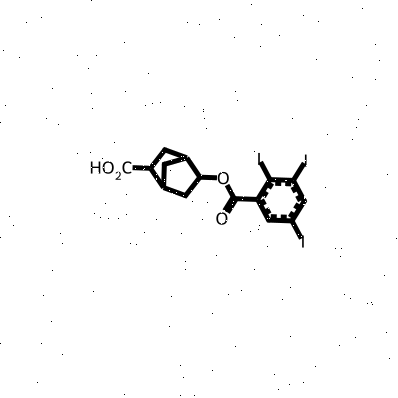 O=C(OC1CC2CC1CC2C(=O)O)c1cc(I)cc(I)c1I